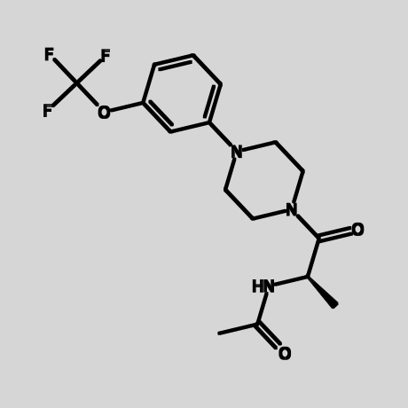 CC(=O)N[C@H](C)C(=O)N1CCN(c2cccc(OC(F)(F)F)c2)CC1